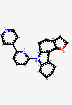 c1cc(-c2ccncc2)nc(-n2c3ccccc3c3c4occc4ccc32)c1